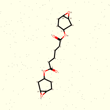 O=C(CCCCC(=O)OC1CCC2OC2C1)OC1CCC2OC2C1